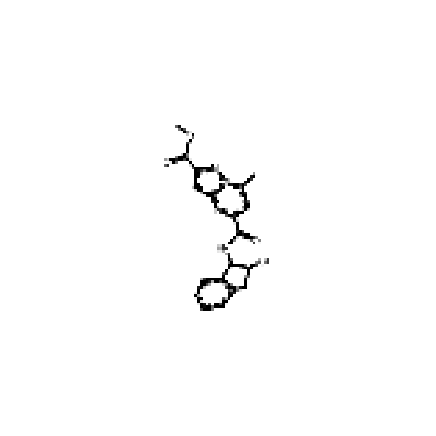 COC(=O)c1cc2nc(C(=O)NC3c4ccccc4CC3O)cc(C)n2n1